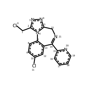 ClCc1nnc2n1-c1ccc(Cl)cc1C(c1ccccn1)=NC2